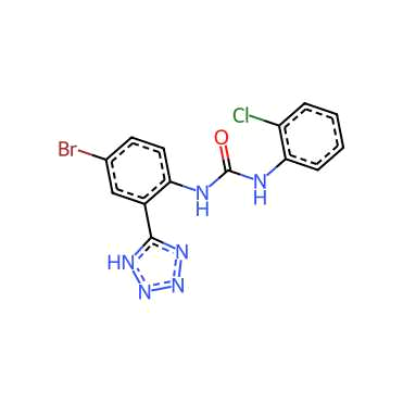 O=C(Nc1ccccc1Cl)Nc1ccc(Br)cc1-c1nnn[nH]1